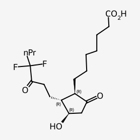 CCCC(F)(F)C(=O)CC[C@H]1[C@H](O)CC(=O)[C@@H]1CCCCCCC(=O)O